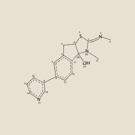 CN=C1SC2Cc3cc(-c4cccnc4)ccc3C2(O)N1C